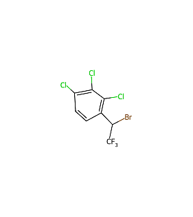 FC(F)(F)C(Br)c1ccc(Cl)c(Cl)c1Cl